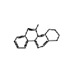 [CH2]c1cc2ccccc2c2ccc3c(c12)CCCC3